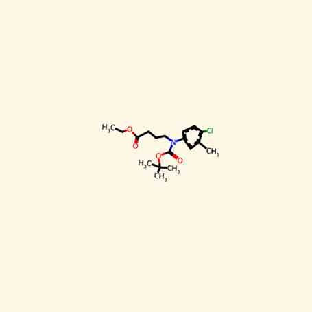 CCOC(=O)CCCN(C(=O)OC(C)(C)C)c1ccc(Cl)c(C)c1